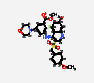 COC(=O)c1cc(Nc2c(S(=O)(=O)Cc3ccc(OC)cc3)cnc3cc(Br)cc(F)c23)cc(N2CCOCC2)c1